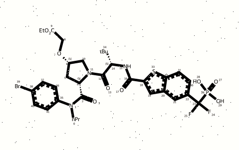 CCCN(C(=O)[C@@H]1C[C@H](OCC(=O)OCC)CN1C(=O)[C@@H](NC(=O)c1cc2cc(C(F)(F)P(=O)(O)O)ccc2s1)C(C)(C)C)c1ccc(Br)cc1